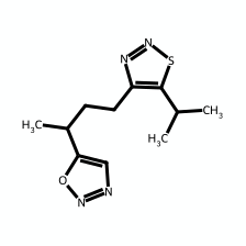 CC(C)c1snnc1CCC(C)c1cnno1